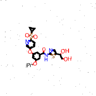 CC(C)Oc1cc(Oc2ccc(S(=O)(=O)C3CC3)nc2)cc(C(=O)Nc2ncc(C(O)CO)s2)c1